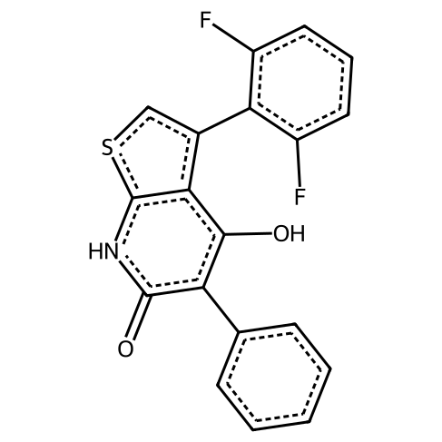 O=c1[nH]c2scc(-c3c(F)cccc3F)c2c(O)c1-c1ccccc1